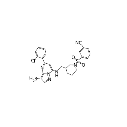 Bc1cnn2c(NCC3CCCN(S(=O)(=O)c4cccc(C#N)c4)C3)cc(-c3ccccc3Cl)nc12